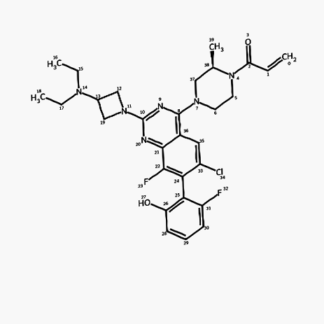 C=CC(=O)N1CCN(c2nc(N3CC(N(CC)CC)C3)nc3c(F)c(-c4c(O)cccc4F)c(Cl)cc23)C[C@H]1C